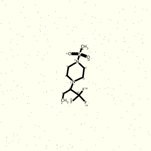 CCC(N1CCN(S(C)(=O)=O)CC1)C(F)(F)F